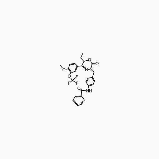 CCC1OC(=O)N(Cc2ccc(NC(=O)c3ccccn3)cc2)N=C1c1ccc(OC)c(OC(F)(F)F)c1